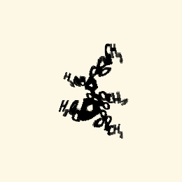 CCOC(=O)Oc1ccc(-c2oc3cc(OC)cc(OC(=O)OCC)c3c(=O)c2OC)cc1OC